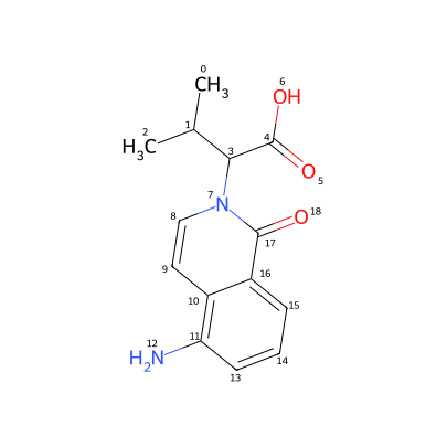 CC(C)C(C(=O)O)n1ccc2c(N)cccc2c1=O